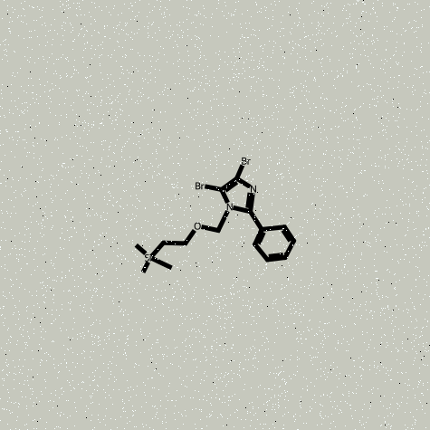 C[Si](C)(C)CCOCn1c(-c2ccccc2)nc(Br)c1Br